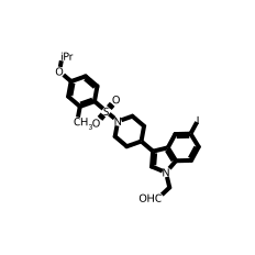 Cc1cc(OC(C)C)ccc1S(=O)(=O)N1CCC(c2cn(CC=O)c3ccc(I)cc23)CC1